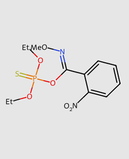 CCOP(=S)(OCC)OC(=NOC)c1ccccc1[N+](=O)[O-]